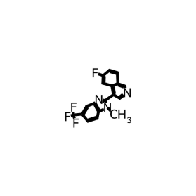 Cn1c(-c2cncc3ccc(F)cc23)nc2cc(C(F)(F)F)ccc21